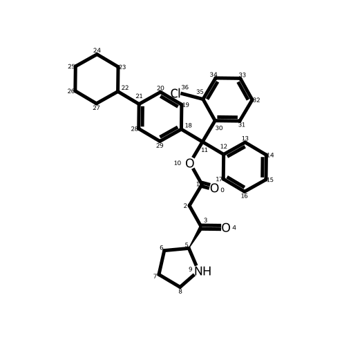 O=C(CC(=O)[C@@H]1CCCN1)OC(c1ccccc1)(c1ccc(C2CCCCC2)cc1)c1ccccc1Cl